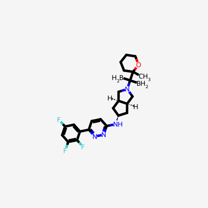 BC(B)(N1C[C@H]2C[C@H](Nc3ccc(-c4cc(F)cc(F)c4F)nn3)C[C@H]2C1)C1(C)CCCCO1